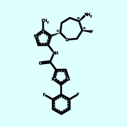 Cn1ncc(NC(=O)c2csc(-c3c(F)cccc3F)n2)c1[C@@H]1CC[C@@H](N)[C@@H](F)CO1